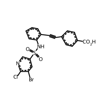 O=C(O)c1ccc(C#Cc2ccccc2NS(=O)(=O)c2cnc(Cl)c(Br)c2)cc1